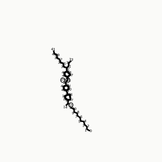 CCCCCCCCCCCCOC(C)c1ccc(-c2ccc(C(=O)Oc3ccc(C(CCC)CCCCCCCC)cc3)cc2)cc1